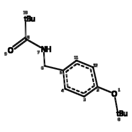 CC(C)(C)Oc1ccc(CNC(=O)C(C)(C)C)cc1